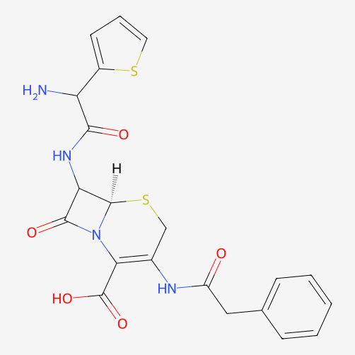 NC(C(=O)NC1C(=O)N2C(C(=O)O)=C(NC(=O)Cc3ccccc3)CS[C@H]12)c1cccs1